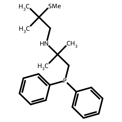 CSC(C)(C)CNC(C)(C)CP(c1ccccc1)c1ccccc1